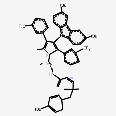 C=C(/C=C\C(C)(C)CC1C=CC(C(C)(C)C)=CC1)NC[C@H](C)[C@@H]1C(C)=C(c2cccc(C(F)(F)F)c2)C(n2c3ccc(C(C)(C)C)cc3c3cc(C(C)(C)C)ccc32)=C1c1cccc(C(F)(F)F)c1